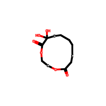 O=C1CCCCCCC(O)(O)C(=O)OCCO1